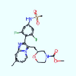 COC(=O)N1CCO[C@@H](Cc2c(-c3c(F)cc(NS(C)(=O)=O)cc3F)nc3cc(C)ccn23)C1